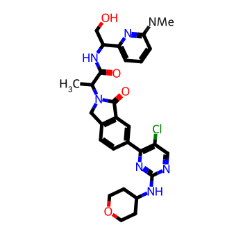 CNc1cccc(C(CO)NC(=O)C(C)N2Cc3ccc(-c4nc(NC5CCOCC5)ncc4Cl)cc3C2=O)n1